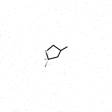 CC1CS[C@@H](C)C1